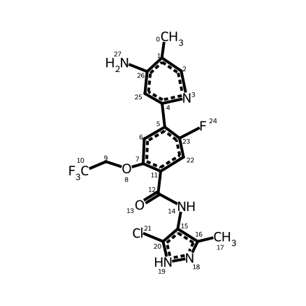 Cc1cnc(-c2cc(OCC(F)(F)F)c(C(=O)Nc3c(C)n[nH]c3Cl)cc2F)cc1N